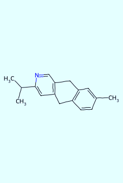 Cc1ccc2c(c1)Cc1cnc(C(C)C)cc1C2